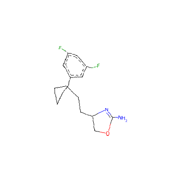 NC1=NC(CCC2(c3cc(F)cc(F)c3)CC2)CO1